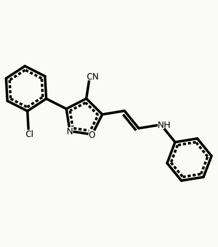 N#Cc1c(-c2ccccc2Cl)noc1/C=C/Nc1ccccc1